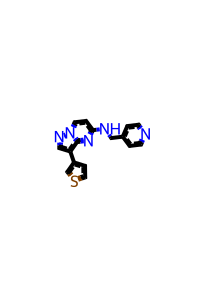 c1cc(CNc2ccn3ncc(-c4ccsc4)c3n2)ccn1